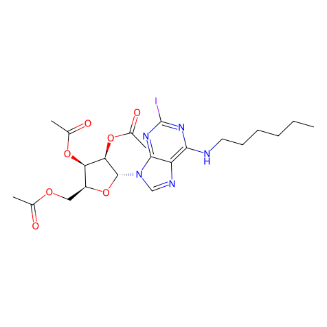 CCCCCCNc1nc(I)nc2c1ncn2[C@@H]1O[C@@H](COC(C)=O)[C@@H](OC(C)=O)[C@H]1OC(C)=O